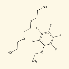 CCOc1c(F)c(F)c(Cl)c(F)c1F.OCCOCCOCCO